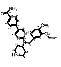 CCOc1cc(CN(c2ncc(-c3ccc(C(N)=O)cc3)cn2)C2CCNCC2)ccc1OC